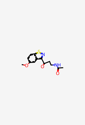 COc1ccc2snc(C(=O)CCNC(C)=O)c2c1